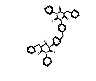 O=C1C(Cc2ccccc2)C(=O)N(c2ccc(Cc3ccc(N4C(=O)C(Cc5ccccc5)C(=O)N(c5ccccc5)C4=O)cc3)cc2)C(=O)N1c1ccccc1